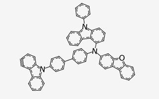 c1ccc2c(c#1)c1ccccc1n2-c1ccc(-c2ccc(N(c3ccc4c(c3)oc3ccccc34)c3cccc4c3c3ccccc3n4-c3ccccc3)cc2)cc1